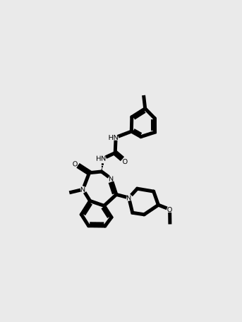 COC1CCN(C2=N[C@@H](NC(=O)Nc3cccc(C)c3)C(=O)N(C)c3ccccc32)CC1